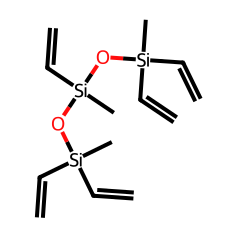 C=C[Si](C)(C=C)O[Si](C)(C=C)O[Si](C)(C=C)C=C